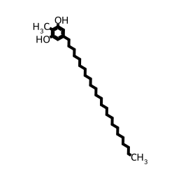 CCCCCCCCCCCCCCCCCCCCCCCCCc1cc(O)c(C)c(O)c1